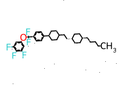 CCCCC[C@H]1CC[C@H](CCC2CCC(c3ccc(C(F)(F)Oc4cc(F)c(F)c(F)c4)cc3)CC2)CC1